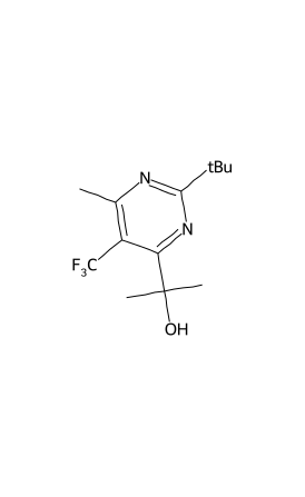 Cc1nc(C(C)(C)C)nc(C(C)(C)O)c1C(F)(F)F